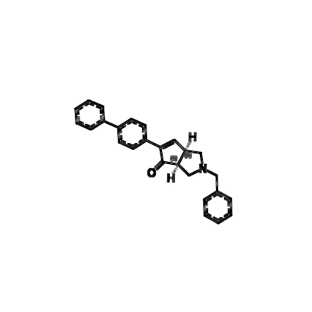 O=C1C(c2ccc(-c3ccccc3)cc2)=C[C@H]2CN(Cc3ccccc3)C[C@@H]12